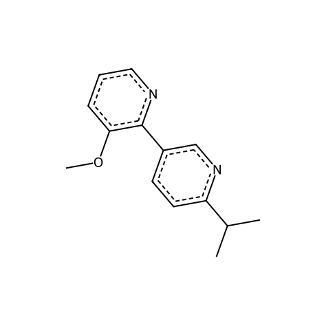 COc1cccnc1-c1ccc(C(C)C)nc1